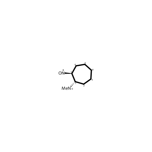 CN[C@H]1CCCCC[C@@H]1N=O